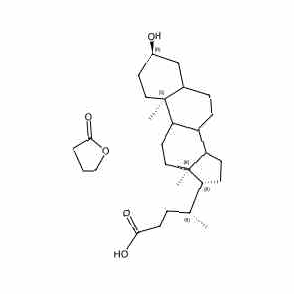 C[C@H](CCC(=O)O)[C@H]1CCC2C3CCC4C[C@H](O)CC[C@]4(C)C3CC[C@@]21C.O=C1CCCO1